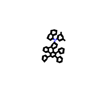 Cc1cc(C)cc(N(c2ccc3c(c2)c2ccccc2c2c(-c4ccccc4)cc(-c4ccccc4)c(-c4ccccc4)c32)c2cccc3ccccc23)c1